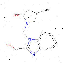 CCCC1CC(=O)N(Cn2c(CO)nc3ccccc32)C1